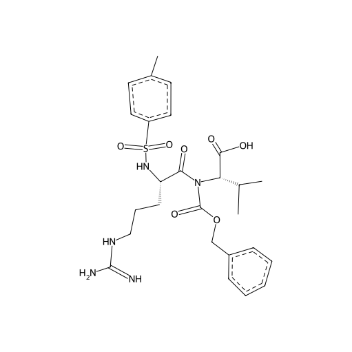 Cc1ccc(S(=O)(=O)N[C@@H](CCCNC(=N)N)C(=O)N(C(=O)OCc2ccccc2)[C@H](C(=O)O)C(C)C)cc1